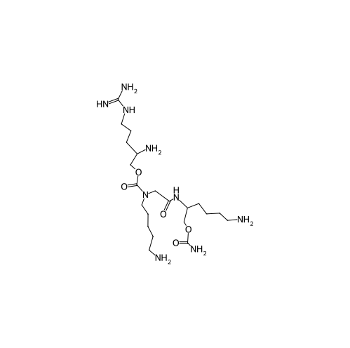 N=C(N)NCCCC(N)COC(=O)N(CCCCCN)CC(=O)NC(CCCCN)COC(N)=O